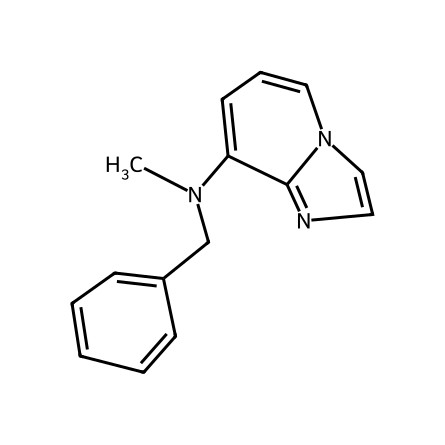 CN(Cc1ccccc1)c1cccn2ccnc12